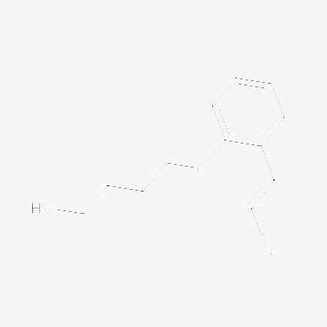 OCCCCOc1ccccc1/C=C/I